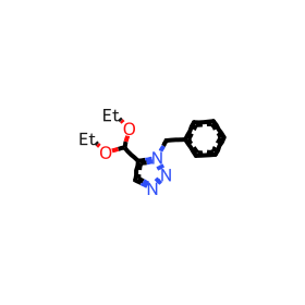 CCOC(OCC)c1cnnn1Cc1ccccc1